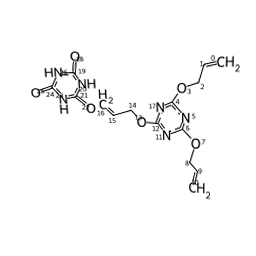 C=CCOc1nc(OCC=C)nc(OCC=C)n1.O=c1[nH]c(=O)[nH]c(=O)[nH]1